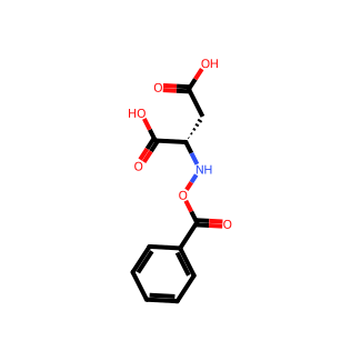 O=C(O)C[C@H](NOC(=O)c1ccccc1)C(=O)O